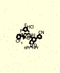 CCCC(CCC)N1CCc2c(C(=O)N[C@@H](Cc3cc(F)cc(F)c3)[C@@H](O)CNC3(c4cccc(C(F)(F)F)c4)CC3)cc(-c3cccc(C#N)c3)cc2C1=O.Cl